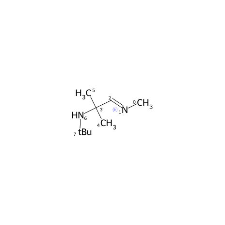 C/N=C/C(C)(C)NC(C)(C)C